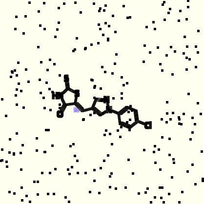 O=C1NC(=S)S/C1=C\c1cnn(-c2ccc(Cl)cc2)c1